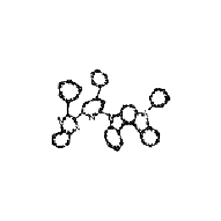 c1ccc(-c2cc(-c3nc4ccccc4nc3-c3ccccc3)nc(-n3c4ccccc4c4c5c6ccccc6n(-c6ccccc6)c5ccc43)c2)cc1